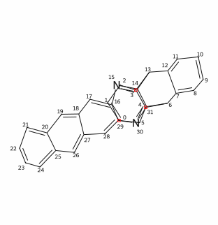 c1ccc2c(c1)C1c3ccccc3C2c2nc3cc4cc5ccccc5cc4cc3nc21